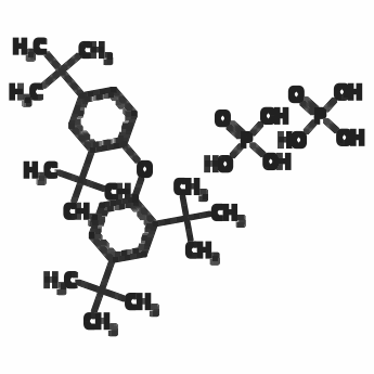 CC(C)(C)c1ccc(Oc2ccc(C(C)(C)C)cc2C(C)(C)C)c(C(C)(C)C)c1.O=P(O)(O)O.O=P(O)(O)O